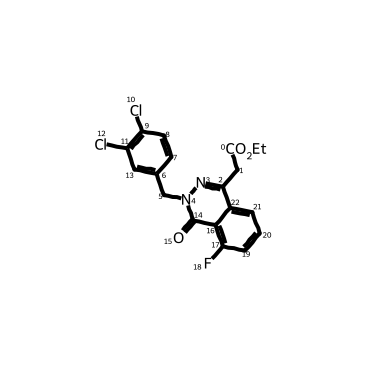 CCOC(=O)Cc1nn(Cc2ccc(Cl)c(Cl)c2)c(=O)c2c(F)cccc12